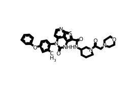 Cc1cc(Oc2ccccc2)ccc1N1C(=O)Nc2c(C(=O)NC3CCCN(C(=O)CN4CCOCC4)C3)sc3nccc1c23